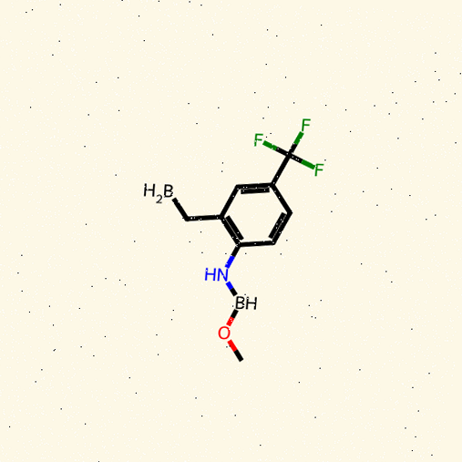 BCc1cc(C(F)(F)F)ccc1NBOC